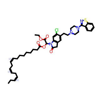 CC/C=C\C/C=C\C/C=C\CCCCCCCC(=O)OC(C(=O)OCC)N1C(=O)Cc2cc(CCN3CCN(c4nsc5ccccc45)CC3)c(Cl)cc21